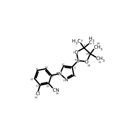 CC1(C)OB(c2cnn(-c3cccc(Cl)c3C#N)c2)OC1(C)C